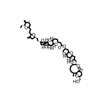 C=C1C[C@H](CC[C@@]23C[C@H]4O[C@H]5[C@@H](O2)[C@H]2OC(CC(=O)O[C@H]6CO[C@H]7C[C@H]8OC(C[C@@H]9OO[C@H]%10CC[C@@H](CO)O[C@H]%10[C@@H](C)CCC[C@@H]9O)CC8OC7C6)CC[C@@H]2O[C@H]5[C@H]4O3)OC1CCC1C[C@@H](C)C(=C)[C@@H](CC)O1